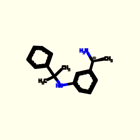 C[C@H](N)c1cccc(NC(C)(C)c2ccccc2)c1